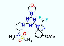 COc1cccc2c1nc(C(F)F)n2-c1nc(N2CCOCC2)nc(N2CCC[C@@H](N(C)S(C)(=O)=O)C2)n1